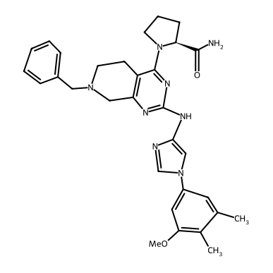 COc1cc(-n2cnc(Nc3nc4c(c(N5CCC[C@H]5C(N)=O)n3)CCN(Cc3ccccc3)C4)c2)cc(C)c1C